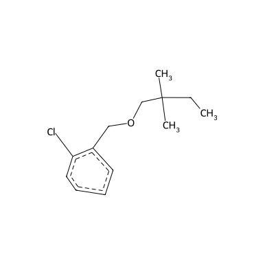 CCC(C)(C)COCc1ccccc1Cl